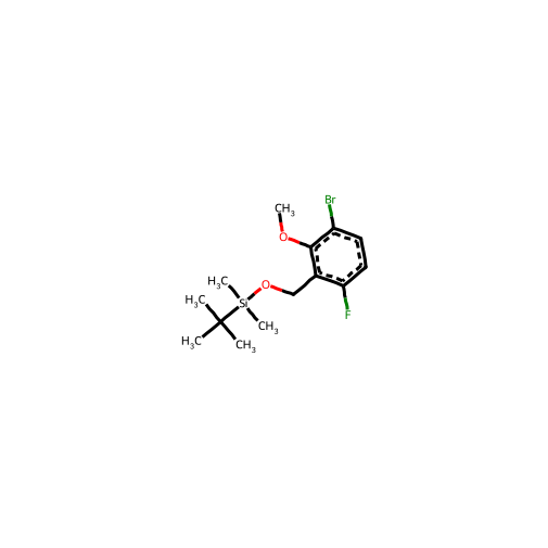 COc1c(Br)ccc(F)c1CO[Si](C)(C)C(C)(C)C